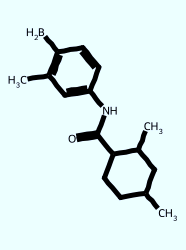 Bc1ccc(NC(=O)C2CCC(C)CC2C)cc1C